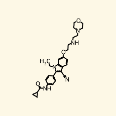 CCn1c(-c2ccc(NC(=O)C3CC3)cc2)c(C#N)c2ccc(OCCNCCN3CCOCC3)cc21